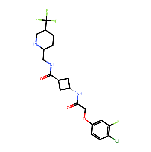 O=C(COc1ccc(Cl)c(F)c1)N[C@H]1C[C@H](C(=O)NCC2CCC(C(F)(F)F)CN2)C1